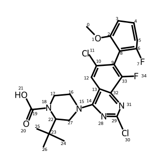 COc1cccc(F)c1-c1c(Cl)cc2c(N3CCN(C(=O)O)C(C(C)(C)C)C3)nc(Cl)nc2c1F